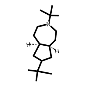 CC(C)(C)C1C[C@H]2CCN(C(C)(C)C)CC[C@H]2C1